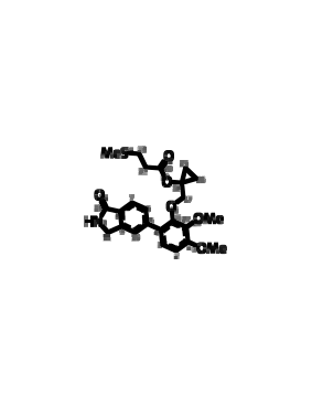 COc1ccc(-c2ccc3c(c2)CNC3=O)c(OCC2(OC(=O)CCSC)CC2)c1OC